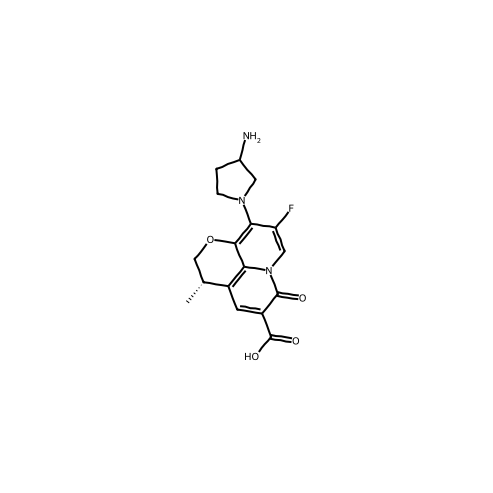 C[C@@H]1COc2c(N3CCC(N)C3)c(F)cn3c(=O)c(C(=O)O)cc1c23